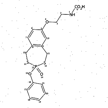 O=C(O)NCCOc1ccc2c(c1)CSP(=O)(Oc1ccccc1)SC2